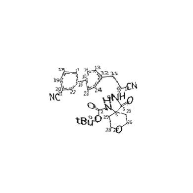 CC(C)(C)OC(=O)NC1(C(=O)NC(C#N)Cc2ccc(-c3cccc(C#N)c3)cc2)CCOCC1